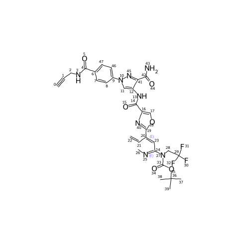 C#CCNC(=O)c1ccc(-n2cc(NC(=O)c3coc(/C(C=C)=C/C(=N\C)N(CC(F)(F)F)C(=O)OC(C)(C)C)n3)c(C(N)=O)n2)cc1